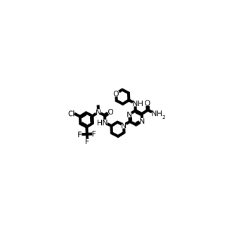 CN(C(=O)NC1CCCN(c2cnc(C(N)=O)c(NC3CCOCC3)n2)C1)c1cc(Cl)cc(C(F)(F)F)c1